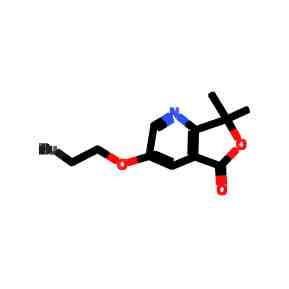 CCC(C)CCOc1cnc2c(c1)C(=O)OC2(C)C